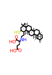 C[C@@H]1[C@H]2[C@H]3CC[C@@H]4[C@@]5(C)C(CCN[C@@H](CCC(=O)O)C(=O)O)C(S)CC(C)(C)[C@@H]5CC[C@@]4(C)[C@]3(C)CC[C@@]2(C)CC[C@H]1C